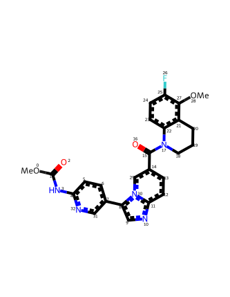 COC(=O)Nc1ccc(-c2cnc3ccc(C(=O)N4CCCc5c4ccc(F)c5OC)cn23)cn1